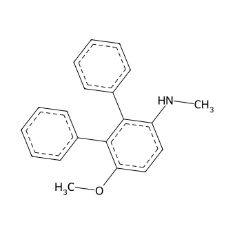 CNc1ccc(OC)c(-c2ccccc2)c1-c1ccccc1